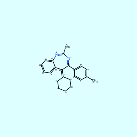 Cc1ccc(C2=NC(C(C)(C)C)=Nc3ccccc3C2=C2CCCCC2)cc1